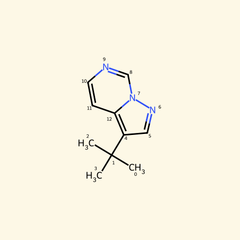 CC(C)(C)c1cnn2cnccc12